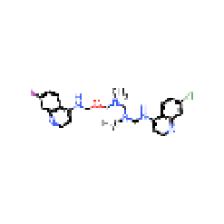 CN(CNc1ccnc2cc(Cl)ccc12)CN(C)COCNc1ccnc2cc(I)ccc12